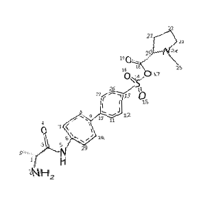 C[C@@H](N)C(=O)Nc1ccc(-c2ccc(S(=O)(=O)OC(=O)C3CCCN3C)cc2)cc1